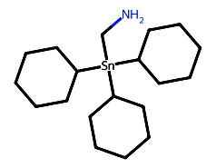 N[CH2][Sn]([CH]1CCCCC1)([CH]1CCCCC1)[CH]1CCCCC1